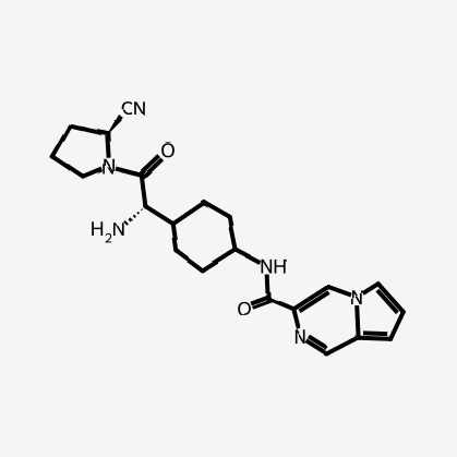 N#C[C@@H]1CCCN1C(=O)[C@@H](N)C1CCC(NC(=O)c2cn3cccc3cn2)CC1